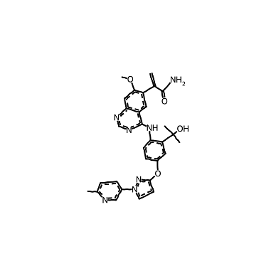 C=C(C(N)=O)c1cc2c(Nc3ccc(Oc4ccn(-c5ccc(C)nc5)n4)cc3C(C)(C)O)ncnc2cc1OC